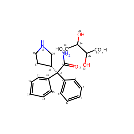 NC(=O)C(c1ccccc1)(c1ccccc1)[C@@H]1CCNC1.O=C(O)C(O)C(O)C(=O)O